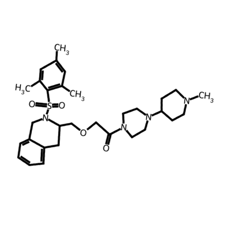 Cc1cc(C)c(S(=O)(=O)N2Cc3ccccc3CC2COCC(=O)N2CCN(C3CCN(C)CC3)CC2)c(C)c1